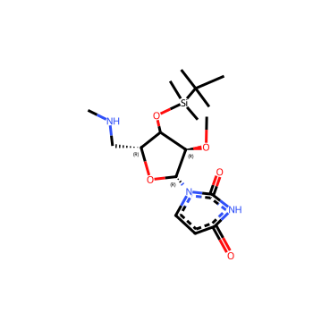 CNC[C@H]1O[C@@H](n2ccc(=O)[nH]c2=O)[C@H](OC)C1O[Si](C)(C)C(C)(C)C